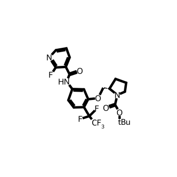 CC(C)(C)OC(=O)N1CCC[C@H]1COc1cc(NC(=O)c2cccnc2F)ccc1C(F)(F)C(F)(F)F